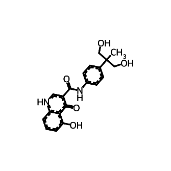 CC(CO)(CO)c1ccc(NC(=O)c2c[nH]c3cccc(O)c3c2=O)cc1